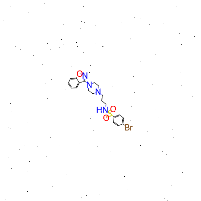 O=S(=O)(NCCCN1CCN(c2noc3ccccc23)CC1)c1ccc(Br)cc1